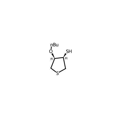 CCCCO[C@@H]1CSC[C@@H]1S